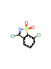 O=S1(=O)N=C(Cl)c2cccc(Cl)c21